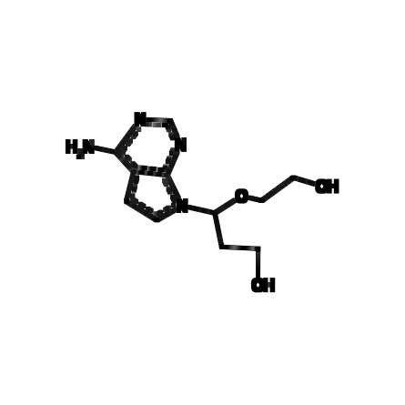 Nc1ncnc2c1ccn2C(CCO)OCCO